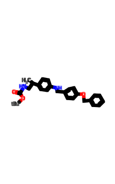 CC(CNC(=O)OC(C)(C)C)c1ccc(NCc2ccc(OCc3ccccc3)cc2)cc1